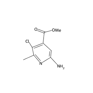 COC(=O)c1cc(N)nc(C)c1Cl